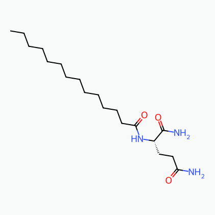 CCCCCCCCCCCCCC(=O)N[C@@H](CCC(N)=O)C(N)=O